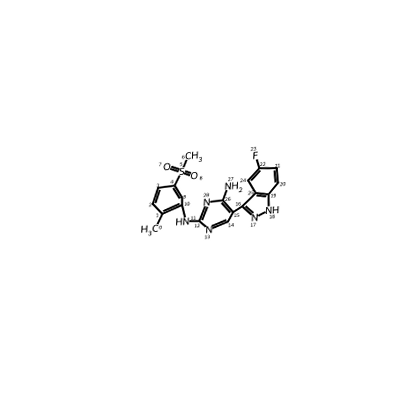 Cc1ccc(S(C)(=O)=O)cc1Nc1ncc(-c2n[nH]c3ccc(F)cc23)c(N)n1